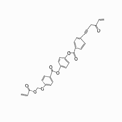 C=CC(=O)CC#Cc1ccc(C(=O)Oc2ccc(OC(=O)c3ccc(OCOC(=O)C=C)cc3)cc2)cc1